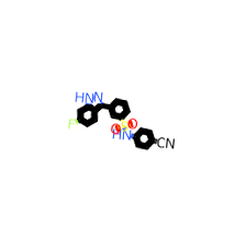 N#Cc1ccc(NS(=O)(=O)c2cccc(-c3n[nH]c4cc(F)ccc34)c2)cc1